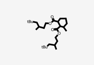 CC(CCOC(=O)C1CCCC(C)C1C(=O)OCCC(C)CC(C)(C)C)CC(C)(C)C